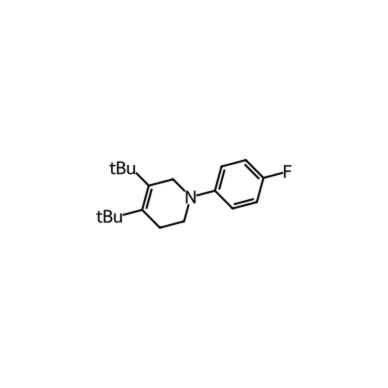 CC(C)(C)C1=C(C(C)(C)C)CN(c2ccc(F)cc2)CC1